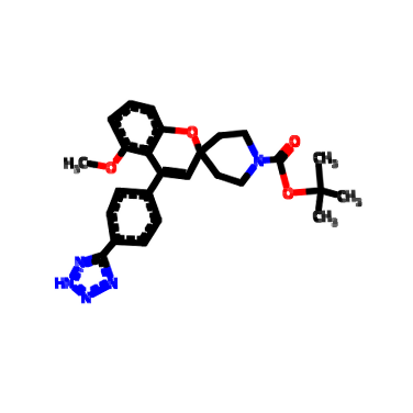 COc1cccc2c1C(c1ccc(-c3nn[nH]n3)cc1)=CC1(CCN(C(=O)OC(C)(C)C)CC1)O2